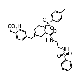 Cc1ccc(S(=O)(=O)N2CCN(Cc3ccc(CC(=O)O)cc3)CC2C(=O)NCCNS(=O)(=O)c2ccccc2)cc1